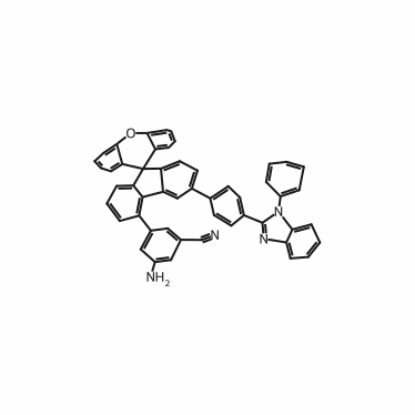 N#Cc1cc(N)cc(-c2cccc3c2-c2cc(-c4ccc(-c5nc6ccccc6n5-c5ccccc5)cc4)ccc2C32c3ccccc3Oc3ccccc32)c1